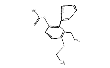 CCOc1ccc(OC(=O)O)c(-c2ccccc2)c1CC